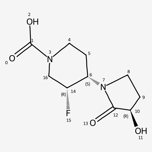 O=C(O)N1CC[C@H](N2CC[C@@H](O)C2=O)[C@H](F)C1